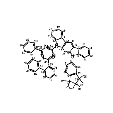 CC1(C)c2ccc(-n3c4ccccc4c4cc5c6ccccc6n(-c6nc(-c7ccccc7)nc(-c7ccccc7-c7ccccc7)n6)c5cc43)cc2C(C)(C)C1(C)C